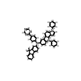 CC1(C)c2ccccc2-c2ccc(N(c3ccc(-c4ncncn4)cc3)c3ccc4c(c3)c3ccc5c(ccn5-c5ccccc5)c3n4-c3ccccc3)cc21